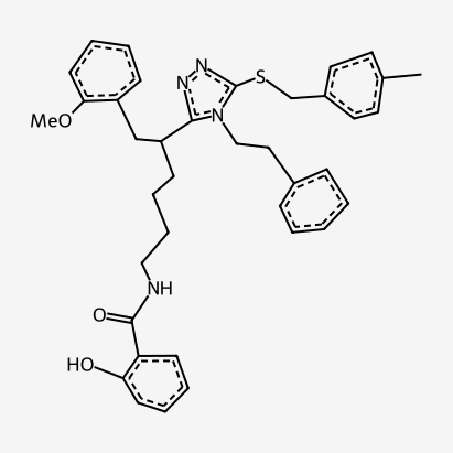 COc1ccccc1CC(CCCCNC(=O)c1ccccc1O)c1nnc(SCc2ccc(C)cc2)n1CCc1ccccc1